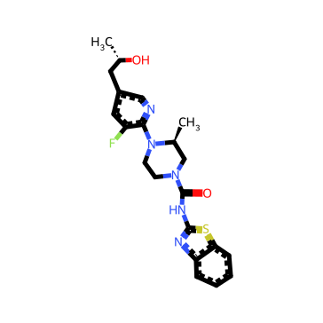 C[C@H](O)Cc1cnc(N2CCN(C(=O)Nc3nc4ccccc4s3)C[C@@H]2C)c(F)c1